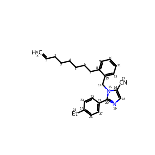 C=CCCCCCCc1ccccc1Cn1c(C#N)cnc1-c1ccc(CC)cc1